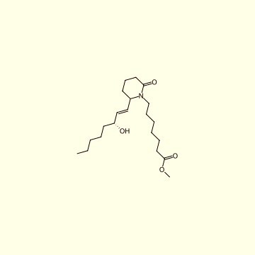 CCCCC[C@@H](O)/C=C/C1CCCC(=O)N1CCCCCCC(=O)OC